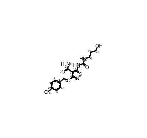 NC(=O)c1c(OCc2ccc(Cl)cc2)nsc1NC(=O)NCCCO